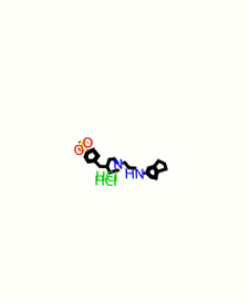 CS(=O)(=O)c1ccc(CC2CCN(CCCNc3ccc4c(c3)CCC4)CC2)cc1.Cl.Cl